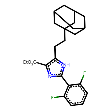 CCOC(=O)c1nc(-c2c(F)cccc2F)[nH]c1CCC12CC3CC(CC(C3)C1)C2